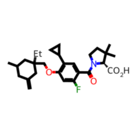 C=C1CC(C)CC(CC)(COc2cc(F)c(C(=O)N3CCC(C)(C)[C@H]3C(=O)O)cc2C2CC2)C1